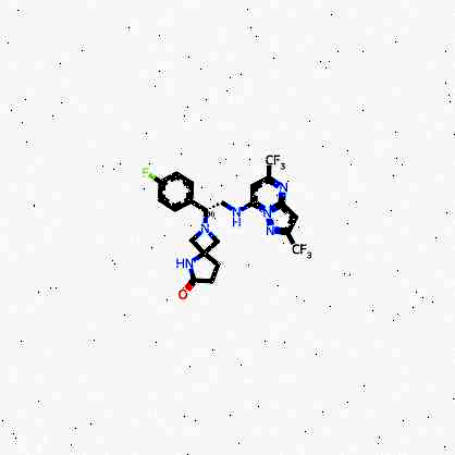 O=C1CCC2(CN([C@@H](CNc3cc(C(F)(F)F)nc4cc(C(F)(F)F)nn34)c3ccc(F)cc3)C2)N1